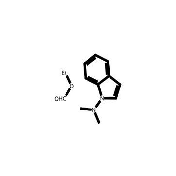 CCOC=O.CN(C)n1ccc2ccccc21